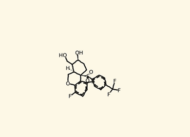 O=S(=O)(c1ccc(C(F)(F)F)cc1)[C@]12CC[C@H](O)C(CO)[C@@H]1COc1c(F)ccc(F)c12